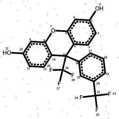 Oc1ccc2c(c1)Oc1cc(O)ccc1C2(c1cccc(C(F)(F)F)c1)C(F)(F)F